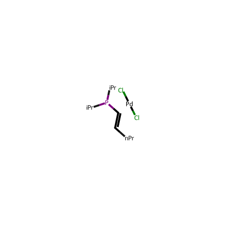 CCCC=CP(C(C)C)C(C)C.[Cl][Pd][Cl]